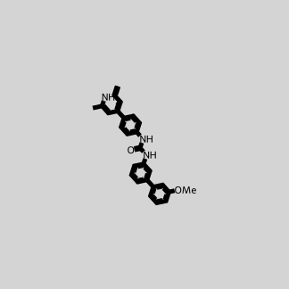 C=C/C=C(\C=C(\C)N)c1ccc(NC(=O)Nc2cccc(-c3cccc(OC)c3)c2)cc1